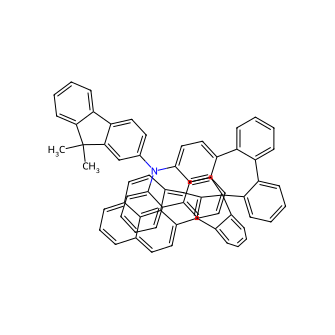 CC1(C)c2ccccc2-c2ccc(N(c3ccc4c(c3)C3(c5ccccc5-c5ccccc5-4)c4ccccc4-c4c3cc3ccc5cccc6ccc4c3c56)c3ccccc3-c3ccccc3)cc21